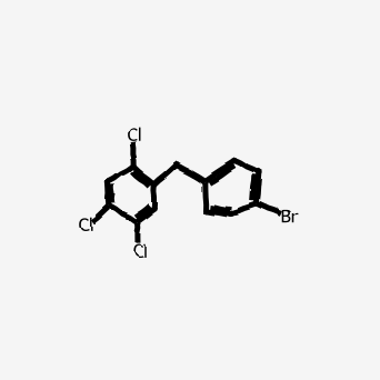 Clc1cc(Cl)c(Cc2ccc(Br)cc2)cc1Cl